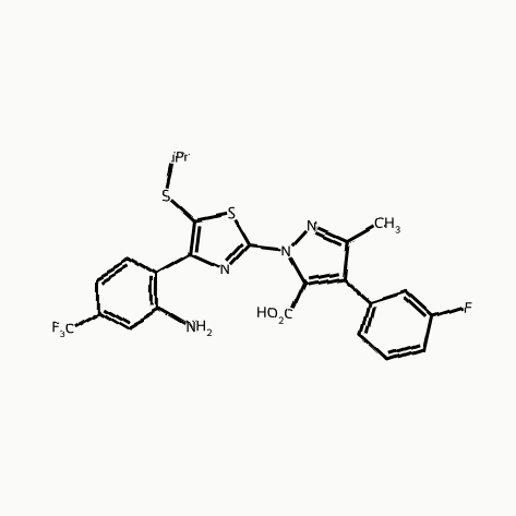 Cc1nn(-c2nc(-c3ccc(C(F)(F)F)cc3N)c(SC(C)C)s2)c(C(=O)O)c1-c1cccc(F)c1